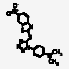 CN(C)c1ccc(-n2nnnc2Sc2nc3ccc([N+](=O)[O-])cc3s2)cc1